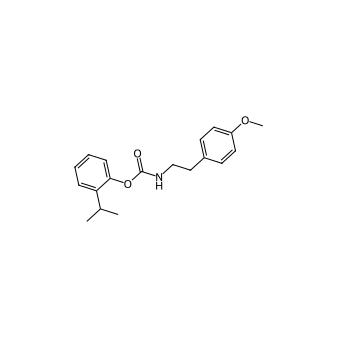 COc1ccc(CCNC(=O)Oc2ccccc2C(C)C)cc1